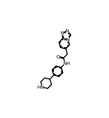 O=C(Cc1ccc2nncn2c1)Nc1ccc(C2CCNCC2)cc1